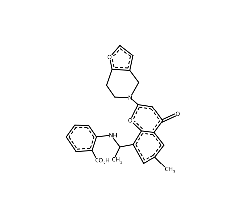 Cc1cc(C(C)Nc2ccccc2C(=O)O)c2oc(N3CCc4occc4C3)cc(=O)c2c1